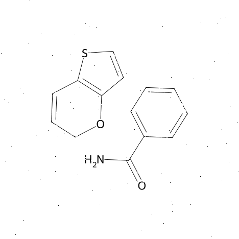 C1=Cc2sccc2OC1.NC(=O)c1ccccc1